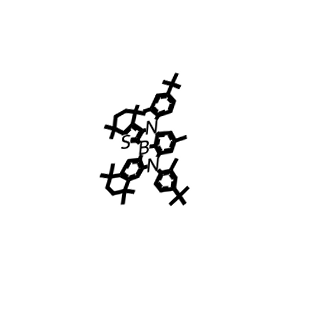 Cc1cc2c3c(c1)N(c1ccc(C(C)(C)C)cc1C)c1c(sc4c1C(C)(C)CCC4(C)C)B3c1cc3c(cc1N2c1ccc(C(C)(C)C)cc1C)C(C)(C)CCC3(C)C